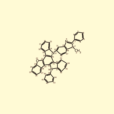 Cn1c(-c2ccccc2)nc2cc(-n3c4ccccc4c4c5oc6ccccc6c5c5c(c6ccccc6n5-c5ccccc5)c43)ccc21